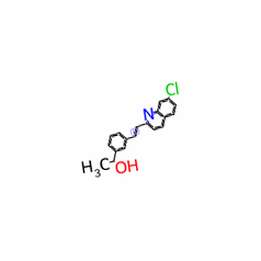 CC(O)c1cccc(/C=C/c2ccc3ccc(Cl)cc3n2)c1